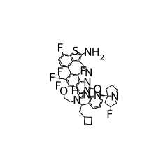 N#Cc1c(N)sc2c(F)ccc(-c3c(C(F)(F)F)c4c5c(nc(OC[C@@]67CCCN6C[C@H](F)C7)nc5c3F)N([C@H](CC3CCC3)c3cccnc3N)CCO4)c12